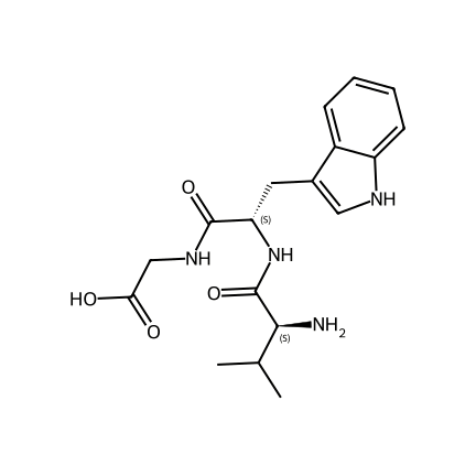 CC(C)[C@H](N)C(=O)N[C@@H](Cc1c[nH]c2ccccc12)C(=O)NCC(=O)O